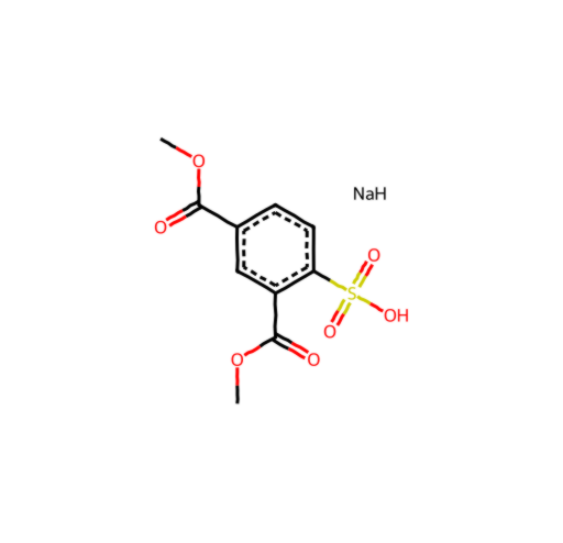 COC(=O)c1ccc(S(=O)(=O)O)c(C(=O)OC)c1.[NaH]